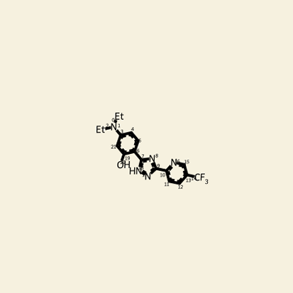 CCN(CC)c1ccc(-c2nc(-c3ccc(C(F)(F)F)cn3)n[nH]2)c(O)c1